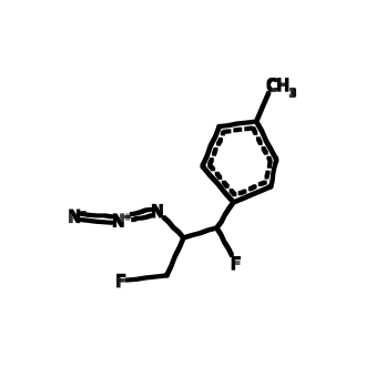 Cc1ccc(C(F)C(CF)N=[N+]=[N-])cc1